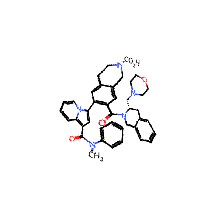 CN(C(=O)c1cc(-c2cc3c(cc2C(=O)N2Cc4ccccc4C[C@H]2CN2CCOCC2)CN(C(=O)O)CC3)n2ccccc12)c1ccccc1